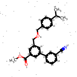 COC(=O)c1cc(COCc2ccc(C(C)C)cc2)cc(-c2cccc(C#N)c2)c1